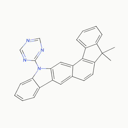 CC1(C)c2ccccc2-c2c1ccc1cc3c4ccccc4n(-c4ncncn4)c3cc21